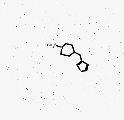 O=C(O)N1CCC(Cc2ccsc2)CC1